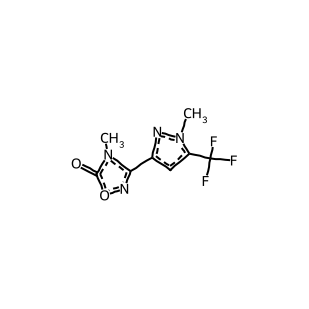 Cn1nc(-c2noc(=O)n2C)cc1C(F)(F)F